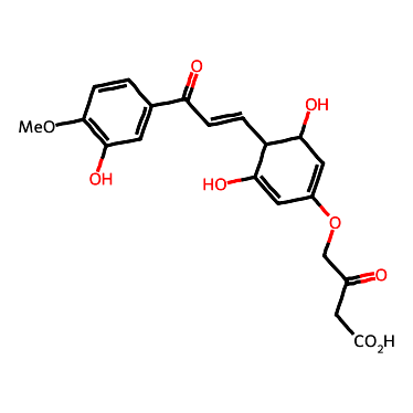 COc1ccc(C(=O)C=CC2C(O)=CC(OCC(=O)CC(=O)O)=CC2O)cc1O